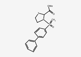 C=S(=O)(c1ccc(-c2ccccc2)cc1)N1CCSC1C(=O)OC